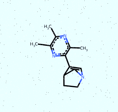 Cc1nc(C)c(C2=CN3CCC2C3)nc1C